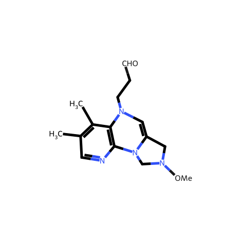 CON1CC2=CN(CCC=O)c3c(ncc(C)c3C)N2C1